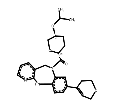 CC(C)O[C@H]1CC[C@H](C(=O)N2Cc3cccnc3Nc3ccc(C4=CCOCC4)cc32)OC1